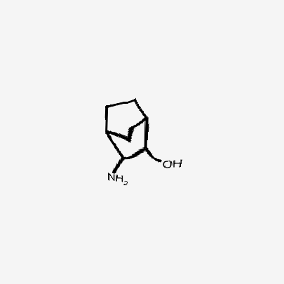 NC1C2CCC(C2)C1O